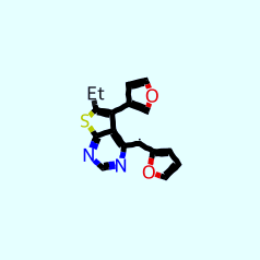 CCc1sc2ncnc([CH]c3ccco3)c2c1-c1ccoc1